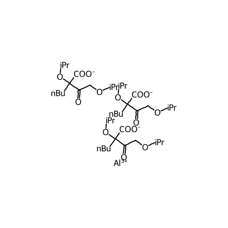 CCCCC(OC(C)C)(C(=O)[O-])C(=O)COC(C)C.CCCCC(OC(C)C)(C(=O)[O-])C(=O)COC(C)C.CCCCC(OC(C)C)(C(=O)[O-])C(=O)COC(C)C.[Al+3]